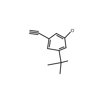 C#Cc1cc(Cl)cc(C(C)(C)C)c1